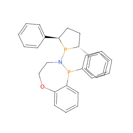 c1ccc([C@H]2CC[C@H](c3ccccc3)P2N2CCOc3ccccc3P2c2ccccc2)cc1